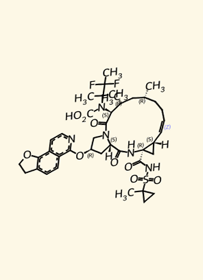 C[C@@H]1CC/C=C\[C@@H]2C[C@@]2(C(=O)NS(=O)(=O)C2(C)CC2)NC(=O)[C@@H]2C[C@@H](Oc3nccc4c5c(ccc34)CCO5)CN2C(=O)[C@@H](N(C(=O)O)C(C)(C)C(C)(F)F)[C@H](C)C1